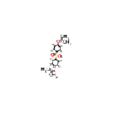 CC(C)Oc1ccc(S(=O)(=O)c2ccc(OC(C)C)cc2)cc1